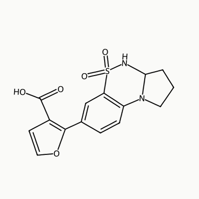 O=C(O)c1ccoc1-c1ccc2c(c1)S(=O)(=O)NC1CCCN21